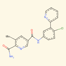 CC(C)(C)c1cc(C(=O)Nc2ccc(Cl)c(-c3ccccn3)c2)cnc1C(N)=O